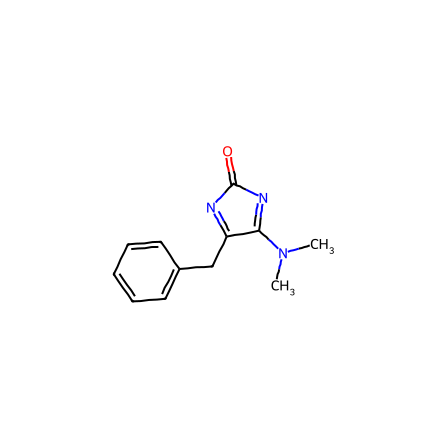 CN(C)C1=NC(=O)N=C1Cc1ccccc1